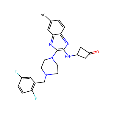 N#Cc1ccc2nc(NC3CC(=O)C3)c(N3CCN(Cc4cc(F)ccc4F)CC3)nc2c1